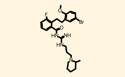 COc1ccc(Br)cc1CCc1c(F)cccc1C(=O)NC(=N)NCCCN1CCCCC1C